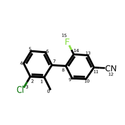 Cc1c(Cl)cccc1-c1ccc(C#N)cc1F